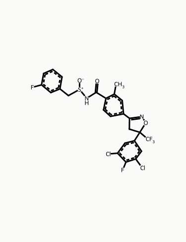 Cc1cc(C2=NOC(c3cc(Cl)c(F)c(Cl)c3)(C(F)(F)F)C2)ccc1C(=O)N[S+]([O-])Cc1cccc(F)c1